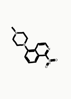 CN1CCN(c2cccc3c([SH](=O)=O)nccc23)CC1